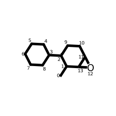 CC1[C](C2CCCCC2)CCC2OC21